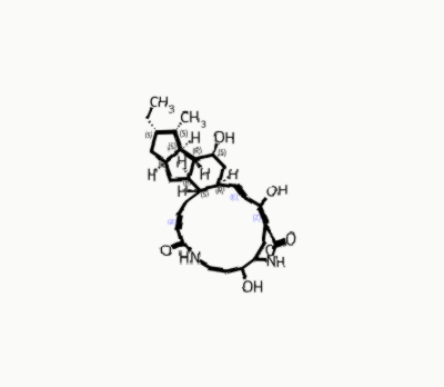 CC[C@H]1C[C@@H]2C[C@@H]3[C@H]4C/C=C\C(=O)NCCC(O)C5NC(=O)/C(=C(O)/C=C/[C@@H]4C[C@H](O)[C@H]3[C@@H]2[C@H]1C)C5=O